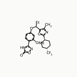 CCC(Oc1ccc(-c2noc(=O)[nH]2)c(OC)c1)c1oc([C@H]2CC[C@H](C(F)(F)F)CC2)nc1C